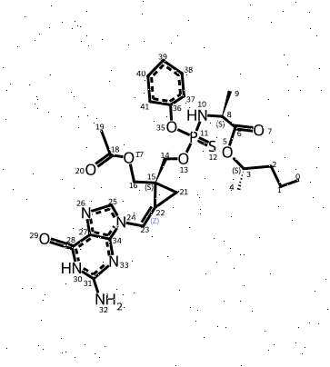 CCC[C@H](C)OC(=O)[C@H](C)NP(=S)(OC[C@@]1(COC(C)=O)C/C1=C/n1cnc2c(=O)[nH]c(N)nc21)Oc1ccccc1